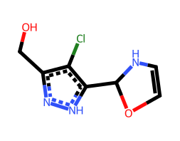 OCc1n[nH]c(C2NC=CO2)c1Cl